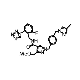 COCc1nn(Cc2ccc(Cn3cc(C)cn3)cc2)cc1C(=O)NCc1c(F)cccc1-n1cnnn1